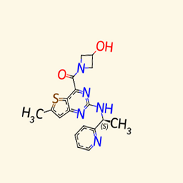 Cc1cc2nc(N[C@@H](C)c3ccccn3)nc(C(=O)N3CC(O)C3)c2s1